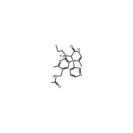 CCCNC1C(=O)NC=C(C)[N+]1(c1cccnc1)c1cc(CNC(C)=O)c(C)nc1N